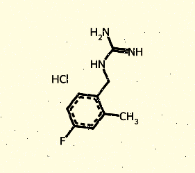 Cc1cc(F)ccc1CNC(=N)N.Cl